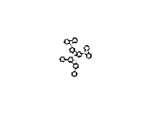 c1ccc(-c2ccc3oc4c(-n5c6ccc(-n7c8ccccc8c8ccccc87)cc6c6cc(-n7c8ccccc8c8ccccc87)ccc65)cc(-c5ccccc5)cc4c3c2)cc1